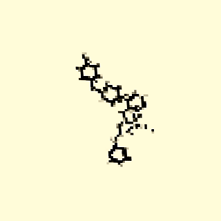 CS(=O)(=O)N(CCOc1ccccc1)Cc1ccccc1C1CCN(Cc2ccc(F)cc2)CC1